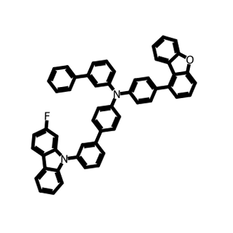 Fc1ccc2c3ccccc3n(-c3cccc(-c4ccc(N(c5ccc(-c6cccc7oc8ccccc8c67)cc5)c5cccc(-c6ccccc6)c5)cc4)c3)c2c1